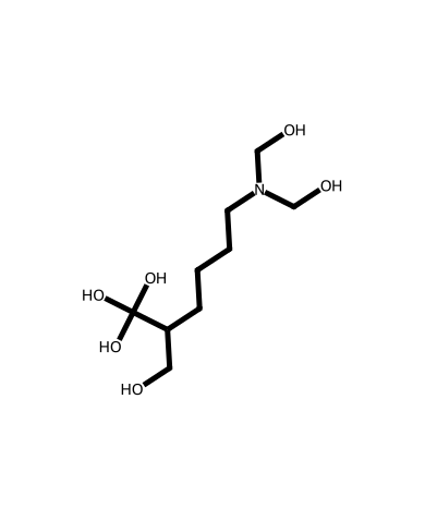 OCC(CCCCN(CO)CO)C(O)(O)O